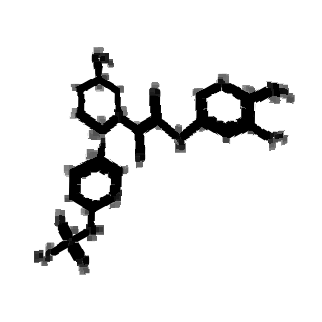 Cc1cc(NC(=O)C(=O)N2C[C@H](C)CC[C@H]2c2ccc(NS(C)(=O)=O)nc2)cnc1N